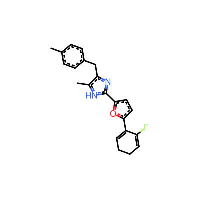 Cc1ccc(Cc2nc(-c3ccc(C4=CCCC=C4F)o3)[nH]c2C)cc1